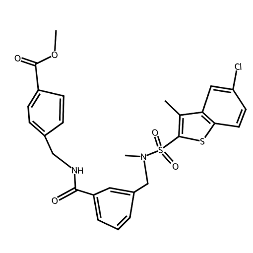 COC(=O)c1ccc(CNC(=O)c2cccc(CN(C)S(=O)(=O)c3sc4ccc(Cl)cc4c3C)c2)cc1